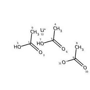 CC(=O)O.CC(=O)O.CC(=O)[O-].[Li+]